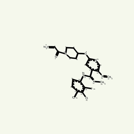 C=CC(=O)N1CCC(Oc2cc(/C(=N\C)Nc3ccc(Cl)c(Cl)c3F)c(N=C)cn2)CC1